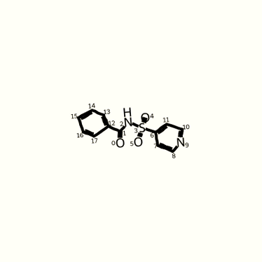 O=C(NS(=O)(=O)c1ccncc1)c1ccccc1